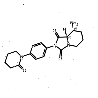 N[C@@H]1CCCN2C(=O)N(c3ccc(N4CCCCC4=O)cc3)C(=O)[C@H]12